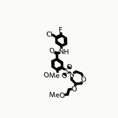 COCCOC1COCCN(S(=O)(=O)c2cc(C(=O)Nc3ccc(F)c(Cl)c3)ccc2OC)C1